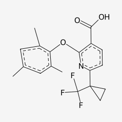 Cc1cc(C)c(Oc2nc(C3(C(F)(F)F)CC3)ccc2C(=O)O)c(C)c1